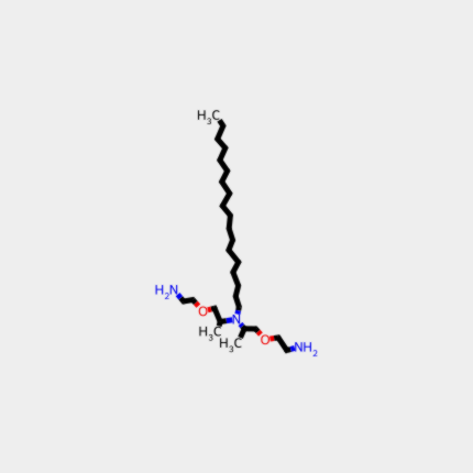 CCCCCCCCCCCCCCCCCCN(C(C)COCCN)C(C)COCCN